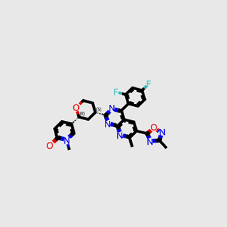 Cc1noc(-c2cc3c(-c4ccc(F)cc4F)nc([C@H]4CCO[C@@H](c5ccc(=O)n(C)c5)C4)nc3nc2C)n1